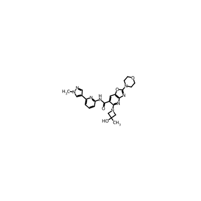 Cn1cc(-c2cccc(NC(=O)c3cc4oc(N5CCOCC5)nc4nc3N3CC(C)(O)C3)n2)cn1